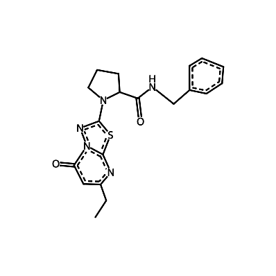 CCc1cc(=O)n2nc(N3CCCC3C(=O)NCc3ccccc3)sc2n1